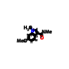 CNC(=O)c1cn(C)c2cc(OC)ccc12